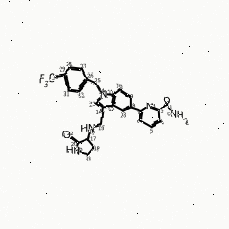 NC(=O)c1cccc(-c2ccc3c(c2)c(CNC2CCNC2=O)cn3Cc2ccc(C(F)(F)F)cc2)n1